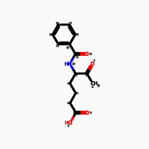 CC(=O)C(CCCC(=O)O)NC(=O)c1ccccc1